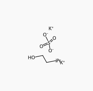 CC(C)CCO.O=S(=O)([O-])[O-].[K+].[K+]